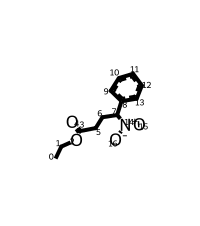 CCOC(=O)CCC(c1ccccc1)[N+](=O)[O-]